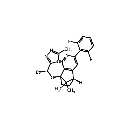 CC[C@@H](O[C@@]12CC[C@@H](c3cc(-c4c(F)cccc4F)nnc31)C2(C)C)c1nnc(C)o1